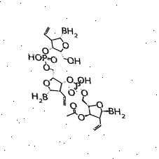 B[C@@H]1O[C@H](COP(=O)(O)O[C@@H]2C(C=C)[C@H](B)O[C@@H]2COP(=O)(O)O[C@@H]2C(C=C)[C@H](B)O[C@@H]2CO)[C@H](OC(C)=O)C1C=C